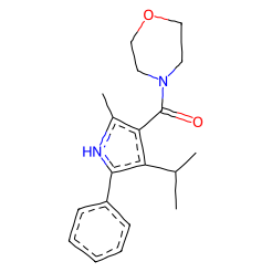 Cc1[nH]c(-c2ccccc2)c(C(C)C)c1C(=O)N1CCOCC1